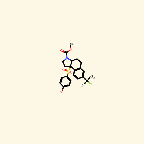 CC(C)(C)OC(=O)N1CCC2(S(=O)(=O)c3ccc(Br)cc3)c3ccc(C(F)(C(F)(F)F)C(F)(F)F)cc3CCC12